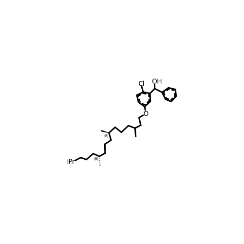 CC(C)CCC[C@@H](C)CCC[C@@H](C)CCCC(C)CCOc1ccc(Cl)c(C(O)c2ccccc2)c1